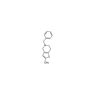 CC(=O)Oc1cc2c(s1)CCN(Cc1ccccc1)C2